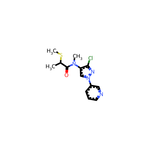 CSC(C)C(=O)N(C)c1cn(-c2cccnc2)nc1Cl